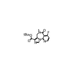 CN1Cc2c(C(=O)OC(C)(C)C)ncn2-c2nccc(F)c2C1=O